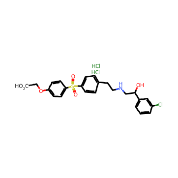 Cl.Cl.O=C(O)COc1ccc(S(=O)(=O)c2ccc(CCNCC(O)c3cccc(Cl)c3)cc2)cc1